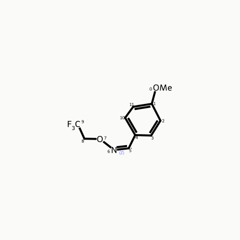 COc1ccc(/[C]=N\OCC(F)(F)F)cc1